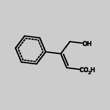 O=C(O)C=C(CO)c1ccccc1